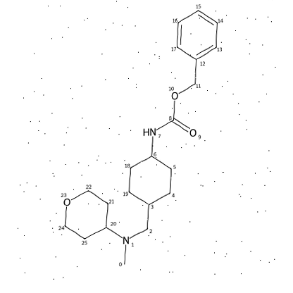 CN(CC1CCC(NC(=O)OCc2ccccc2)CC1)C1CCOCC1